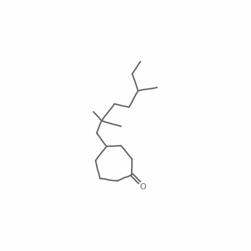 CCC(C)CCC(C)(C)CC1CCCC(=O)CC1